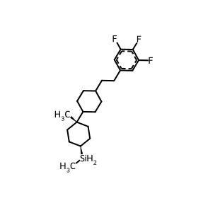 C[SiH2][C@H]1CC[C@](C)(C2CCC(CCc3cc(F)c(F)c(F)c3)CC2)CC1